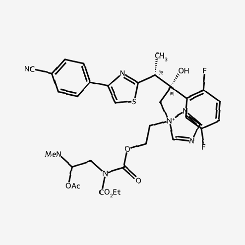 CCOC(=O)N(CC(NC)OC(C)=O)C(=O)OCC[N+]1(C[C@](O)(c2cc(F)ccc2F)[C@@H](C)c2nc(-c3ccc(C#N)cc3)cs2)C=NC=N1